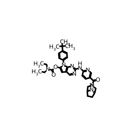 CCN(CC)C(=O)Oc1cc2cnc(Nc3ccc(C(=O)N4CC5CCC(C4)N5)cn3)nc2n1-c1ccc(C(C)(C)C)cc1